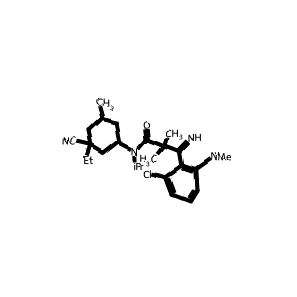 CCC1(C#N)CC(C)CC(N(C(=O)C(C)(C)C(=N)c2c(Cl)cccc2NC)C(C)C)C1